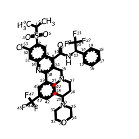 CC(C)S(=O)(=O)c1cc2c(C(=O)N[C@H](c3ccccc3)C(F)(F)F)c(CN3CCC(N4CCOCC4)CC3)c(-c3cccc(C(F)(F)F)c3)nc2cc1Cl